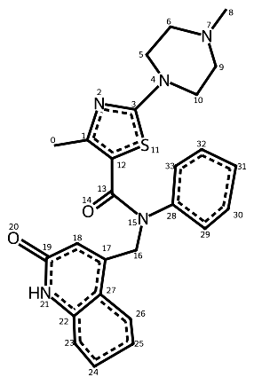 Cc1nc(N2CCN(C)CC2)sc1C(=O)N(Cc1cc(=O)[nH]c2ccccc12)c1ccccc1